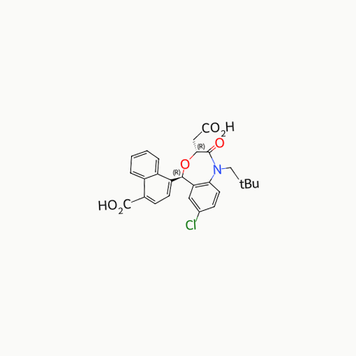 CC(C)(C)CN1C(=O)[C@@H](CC(=O)O)O[C@H](c2ccc(C(=O)O)c3ccccc23)c2cc(Cl)ccc21